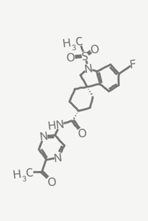 CC(=O)c1cnc(NC(=O)[C@H]2CC[C@]3(CC2)CN(S(C)(=O)=O)c2cc(F)ccc23)cn1